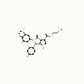 Cc1cc(N2C(=O)c3c(C(=O)NCCN(C)C)cn(C)c3C2c2ccc(Cl)cc2)cc2c1nnn2C